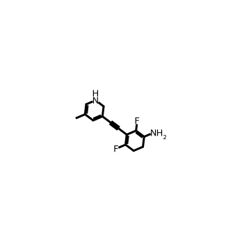 CC1=CNCC(C#CC2=C(F)CCC(N)=C2F)=C1